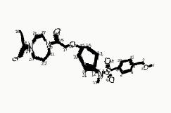 COCc1ccc(S(=O)(=O)N(C)c2ccc(OCC(=O)N3CCCN(C(C)=O)CC3)cc2)cc1